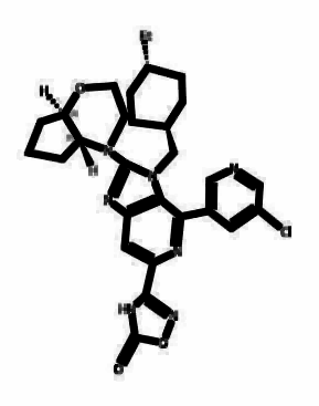 CC[C@H]1CC[C@H](Cn2c(N3CCO[C@@H]4CCC[C@H]43)nc3cc(-c4noc(=O)[nH]4)nc(-c4cncc(Cl)c4)c32)CC1